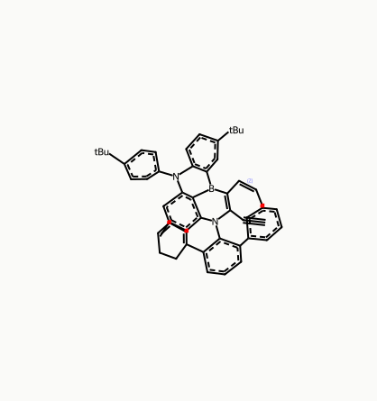 C#CC1=C(/C=C\C)B2c3cc(C(C)(C)C)ccc3N(c3ccc(C(C)(C)C)cc3)c3cc(C)cc(c32)N1c1c(C2=CC=CCC2)cccc1-c1ccccc1